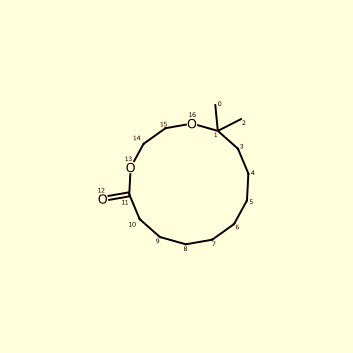 CC1(C)CCCCCCCCC(=O)OCCO1